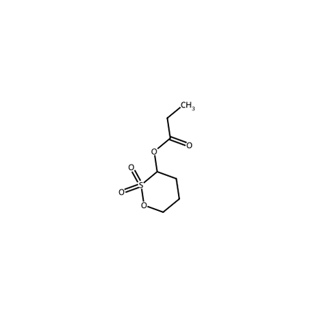 CCC(=O)OC1CCCOS1(=O)=O